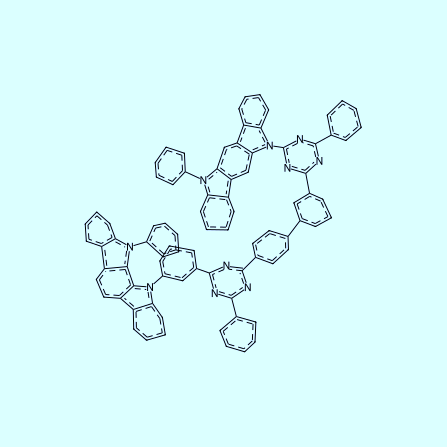 c1ccc(-c2nc(-c3ccc(-c4cccc(-c5nc(-c6ccccc6)nc(-n6c7ccccc7c7cc8c(cc76)c6ccccc6n8-c6ccccc6)n5)c4)cc3)nc(-c3cccc(-n4c5ccccc5c5ccc6c7ccccc7n(-c7ccccc7)c6c54)c3)n2)cc1